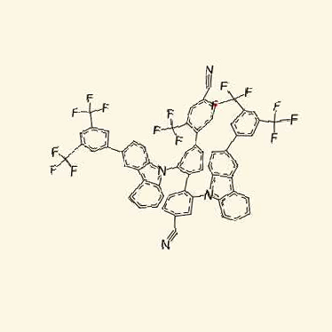 N#Cc1ccc(-c2ccc(-c3ccc(C#N)cc3C(F)(F)F)cc2-n2c3ccccc3c3cc(-c4cc(C(F)(F)F)cc(C(F)(F)F)c4)ccc32)c(-n2c3ccccc3c3cc(-c4cc(C(F)(F)F)cc(C(F)(F)F)c4)ccc32)c1